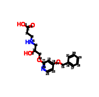 O=C(O)CCNCC(O)COc1cc(OCc2ccccc2)ccn1